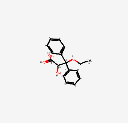 CCOC(c1ccccc1)(c1ccccc1)C(O)C(=O)O